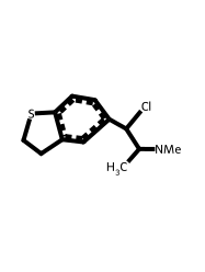 CNC(C)C(Cl)c1ccc2c(c1)CCS2